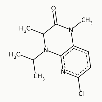 CC(C)N1c2nc(Cl)ccc2N(C)C(=O)C1C